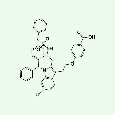 O=C(O)c1ccc(OCCc2c(CCNS(=O)(=O)Cc3ccccc3)n(C(c3ccccc3)c3ccccc3)c3cc(Cl)ccc23)cc1